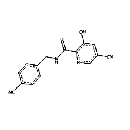 N#Cc1ccc(CNC(=O)c2ncc(C#N)cc2O)cc1